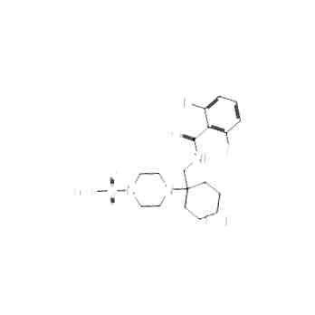 CCCS(=O)(=O)N1CCN(C2(CNC(=O)c3c(F)cccc3F)CCCCC2)CC1.Cl